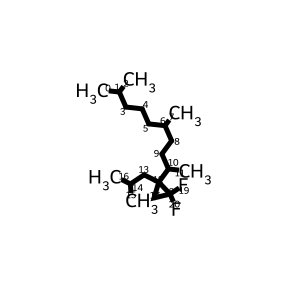 CC(C)CCCC(C)CCC(C)C1(CC(C)C)CC1(F)F